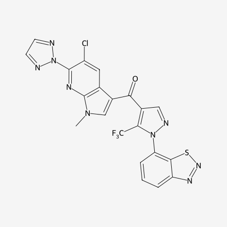 Cn1cc(C(=O)c2cnn(-c3cccc4nnsc34)c2C(F)(F)F)c2cc(Cl)c(-n3nccn3)nc21